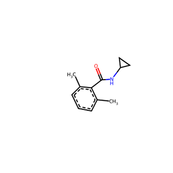 Cc1cccc(C)c1C(=O)NC1CC1